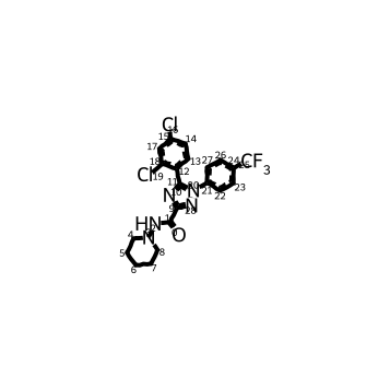 O=C(NN1CCCCC1)c1nc(-c2ccc(Cl)cc2Cl)n(-c2ccc(C(F)(F)F)cc2)n1